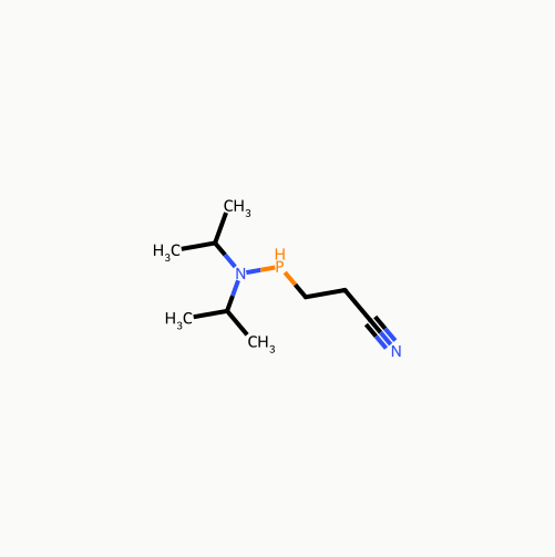 CC(C)N(PCCC#N)C(C)C